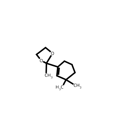 CC1(C)C=C(C2(C)OCCO2)CCC1